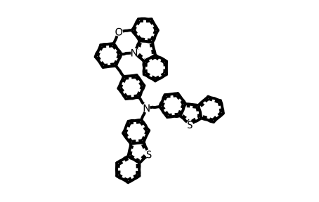 c1cc2c(c(-c3ccc(N(c4ccc5c(c4)sc4ccccc45)c4ccc5c(c4)sc4ccccc45)cc3)c1)-n1c3ccccc3c3cccc(c31)O2